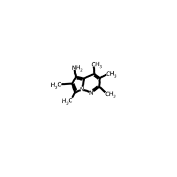 Cc1nn2c(C)c(C)c(N)c2c(C)c1C